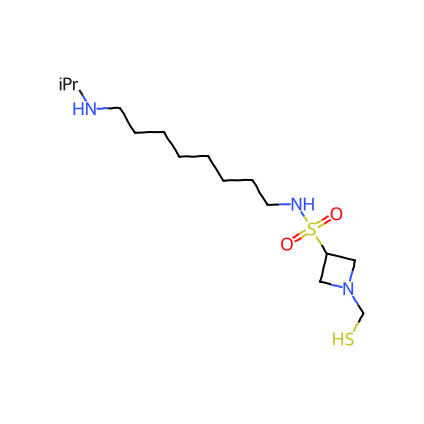 CC(C)NCCCCCCCCNS(=O)(=O)C1CN(CS)C1